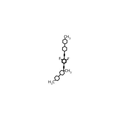 CC1CCC(C2CCC(C#Cc3c(F)cc(C#CC4(C)CCC(C5CCC(C)CC5)CC4)cc3F)CC2)CC1